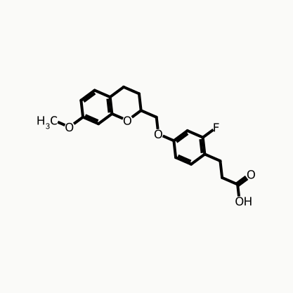 COc1ccc2c(c1)OC(COc1ccc(CCC(=O)O)c(F)c1)CC2